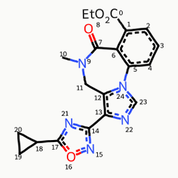 CCOC(=O)c1cccc2c1C(=O)N(C)Cc1c(-c3noc(C4CC4)n3)ncn1-2